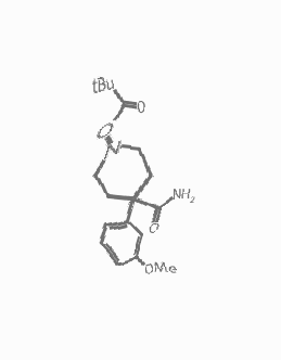 COc1cccc(C2(C(N)=O)CCN(OC(=O)C(C)(C)C)CC2)c1